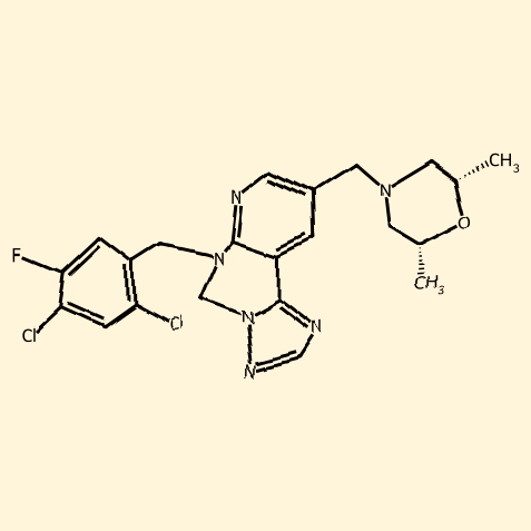 C[C@@H]1CN(Cc2cnc3c(c2)-c2ncnn2CN3Cc2cc(F)c(Cl)cc2Cl)C[C@H](C)O1